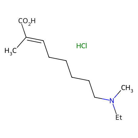 CCN(C)CCCCCC=C(C)C(=O)O.Cl